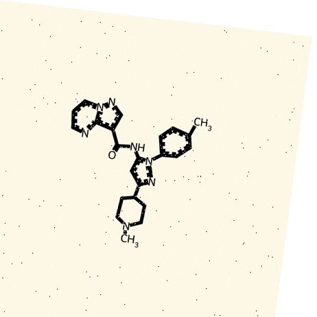 Cc1ccc(-n2nc(C3CCN(C)CC3)cc2NC(=O)c2cnn3cccnc23)cc1